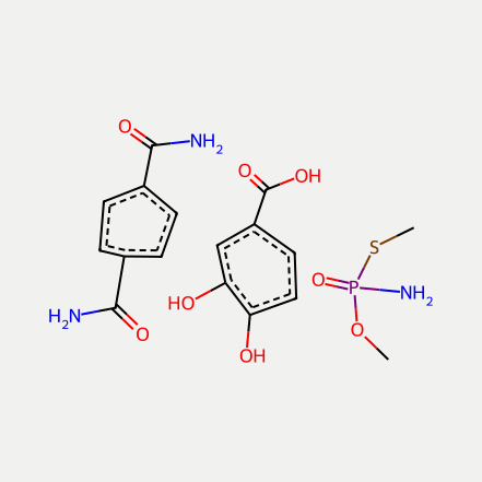 COP(N)(=O)SC.NC(=O)c1ccc(C(N)=O)cc1.O=C(O)c1ccc(O)c(O)c1